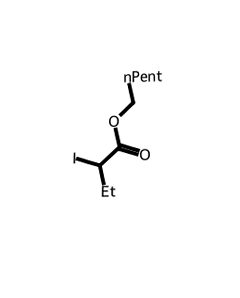 CCCCCCOC(=O)C(I)CC